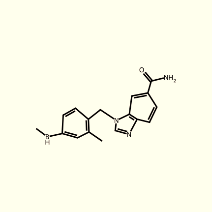 CBc1ccc(Cn2cnc3ccc(C(N)=O)cc32)c(C)c1